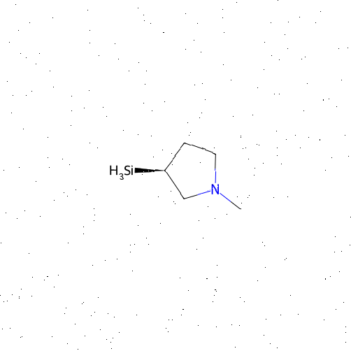 CN1CC[C@H]([SiH3])C1